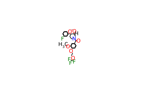 COc1cc(C(=O)N2CC[C@]3(c4cccc(F)c4)OCO[C@@H]3C2)ccc1OCCOC(F)(F)F